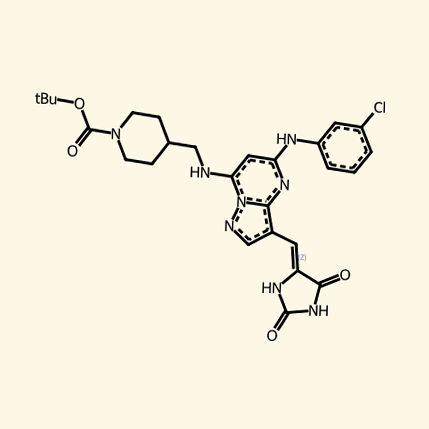 CC(C)(C)OC(=O)N1CCC(CNc2cc(Nc3cccc(Cl)c3)nc3c(/C=C4\NC(=O)NC4=O)cnn23)CC1